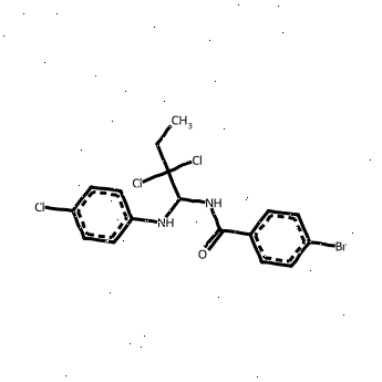 CCC(Cl)(Cl)C(NC(=O)c1ccc(Br)cc1)Nc1ccc(Cl)cc1